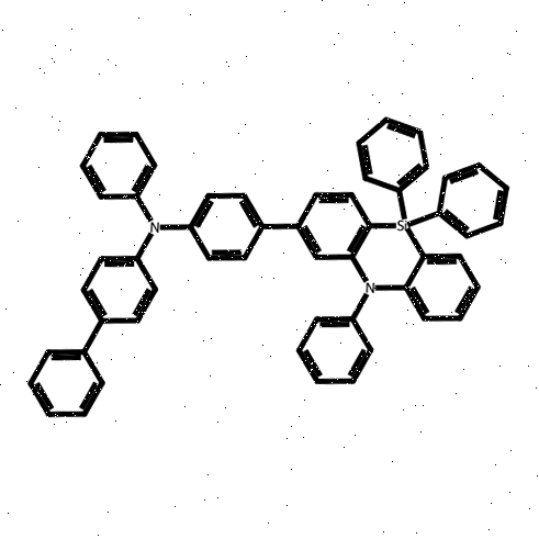 c1ccc(-c2ccc(N(c3ccccc3)c3ccc(-c4ccc5c(c4)N(c4ccccc4)c4ccccc4[Si]5(c4ccccc4)c4ccccc4)cc3)cc2)cc1